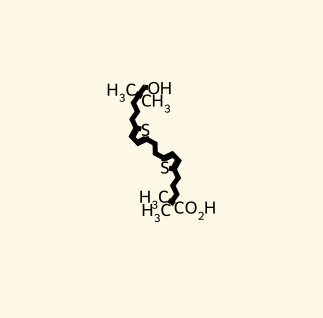 CC(C)(CO)CCCc1ccc(CCc2ccc(CCCC(C)(C)C(=O)O)s2)s1